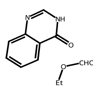 CCOC=O.O=c1[nH]cnc2ccccc12